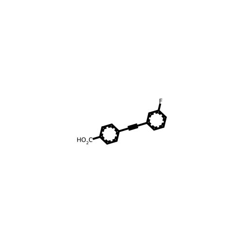 O=C(O)c1ccc(C#Cc2cccc(F)c2)cc1